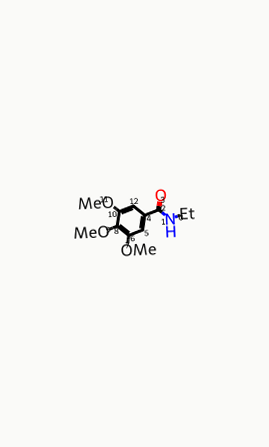 CCNC(=O)c1cc(OC)c(OC)c(OC)c1